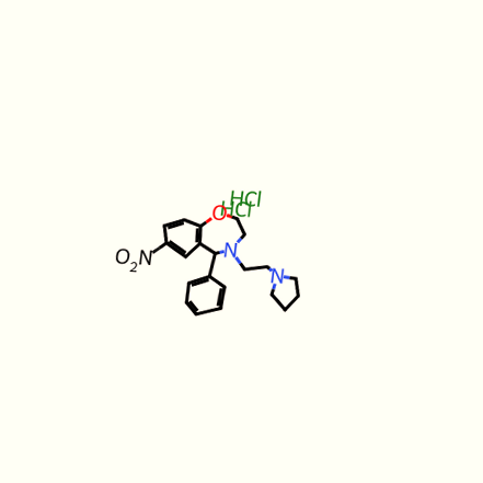 Cl.Cl.O=[N+]([O-])c1ccc2c(c1)C(c1ccccc1)N(CCN1CCCC1)CCO2